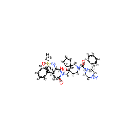 CS(C)(=O)=Nc1cn(CC2(O)CCN(C(=O)N3CCNC[C@H]3c3ccccc3)CC23CCCC3)c(=O)cc1-c1ccccc1